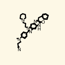 CN(CCC#N)c1ccc(-c2nc3cc4[nH]c(=O)c(Cc5ccccc5)nc4cc3n2CCCN2CCCCC2)cc1